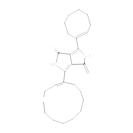 O=C1NC(/C2=C/CCCCCCCCCC2)=C2C(=O)NC(/C3=C/CCCCCC3)=C12